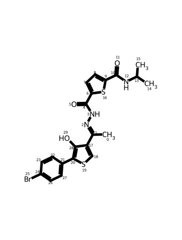 CC(=NNC(=O)c1ccc(C(=O)NC(C)C)s1)c1csc(-c2ccc(Br)cc2)c1O